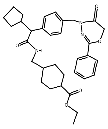 CCOC(=O)C1CCC(CNC(=O)C(c2ccc(CN3N=C(c4ccccc4)OCC3=O)cc2)C2CCCC2)CC1